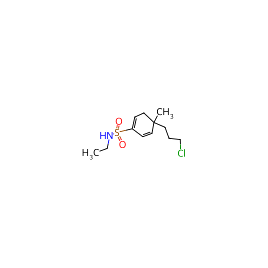 CCNS(=O)(=O)C1=CCC(C)(CCCCl)C=C1